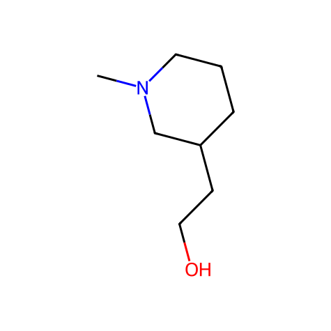 CN1CCCC(CCO)C1